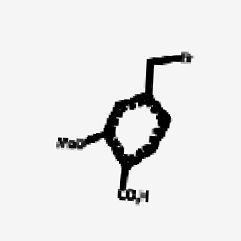 COc1cc(CBr)ccc1C(=O)O